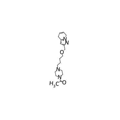 CC(=O)N1CCN(CCCCOCc2cc3n(n2)CC=CC3)CC1